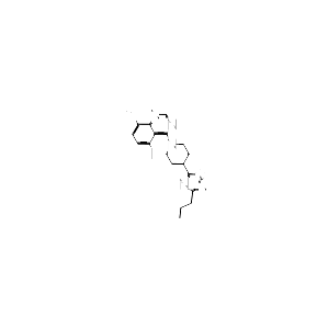 CCCc1noc(C2CCN(c3ncnc4c(Br)ccc(F)c34)CC2)n1